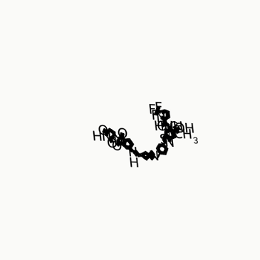 CC(C)(O)c1cc2nc([C@H]3CC[C@H](CN4CC5(CC(CCNc6ccc7c(c6)C(=O)N(C6CCC(=O)NC6=O)C7=O)C5)C4)CC3)sc2cc1NC(=O)c1cccc(C(F)(F)F)n1